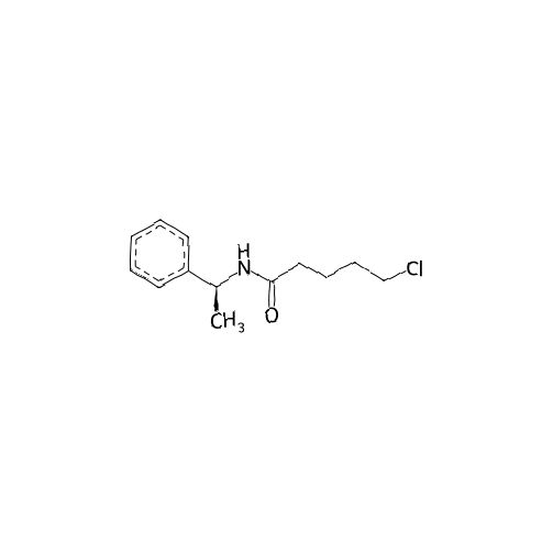 C[C@H](NC(=O)CCCCCl)c1ccccc1